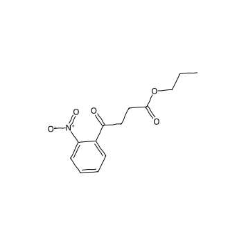 CCCOC(=O)CCC(=O)c1ccccc1[N+](=O)[O-]